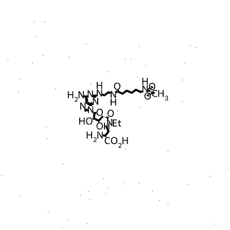 CCN(CC[C@H](N)C(=O)O)C(=O)[C@H]1OC(n2cnc3c(N)nc(NCCNC(=O)CCCCCNS(C)(=O)=O)nc32)[C@H](O)[C@@H]1O